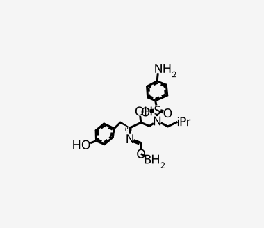 BOC=N[C@@H](Cc1ccc(O)cc1)C(O)CN(CC(C)C)S(=O)(=O)c1ccc(N)cc1